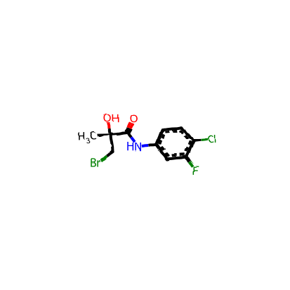 C[C@](O)(CBr)C(=O)Nc1ccc(Cl)c(F)c1